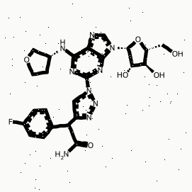 NC(=O)C(c1ccc(F)cc1)c1cn(-c2nc(N[C@@H]3CCOC3)c3ncn([C@@H]4O[C@H](CO)[C@@H](O)[C@@H]4O)c3n2)nn1